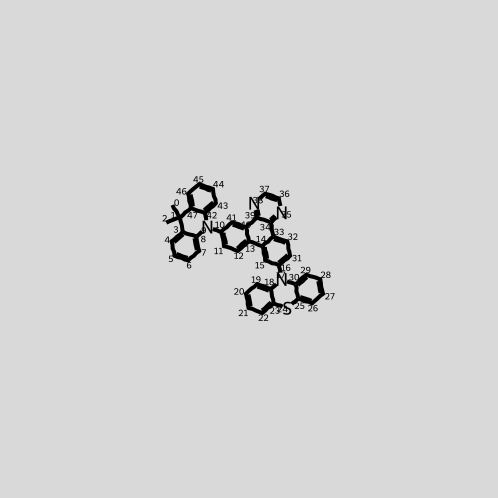 CC1(C)c2ccccc2N(c2ccc3c4cc(N5c6ccccc6Sc6ccccc65)ccc4c4nccnc4c3c2)c2ccccc21